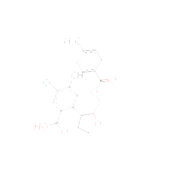 Cc1ccc(C(=O)OCC2OCCC2c2cc(C)c(Cl)cc2C(=O)O)cc1